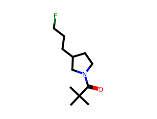 CC(C)(C)C(=O)N1CCC(CCCF)C1